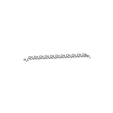 [CH2]/C=C(\C)CC/C=C(\C)CC/C=C(\C)CC/C=C(\C)CC/C=C(\C)CC/C=C(\C)CC/C=C(\C)CC/C=C(\C)CC/C=C(\C)CC/C=C(\C)CCC=C(C)C